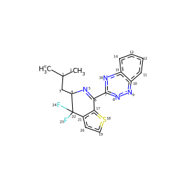 CC(C)CC1N=C(c2nnc3ccccc3n2)c2sccc2C1(F)F